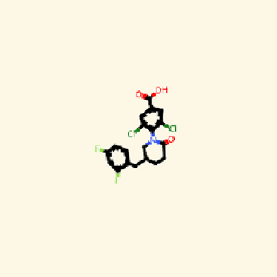 O=C(O)c1cc(Cl)c(N2CC(Cc3ccc(F)cc3F)CCC2=O)c(Cl)c1